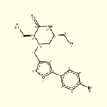 CC(C)C[C@H]1CN(Cc2cc(-c3ccc(Br)cc3)on2)[C@@H](CC(C)C)C(=O)N1